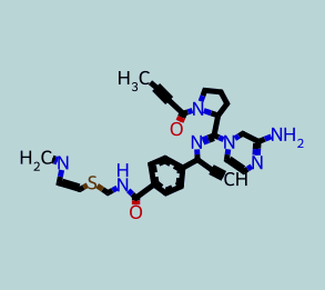 C#CC(/N=C(/C1CCCN1C(=O)C#CC)N1C=CN=C(N)C1)c1ccc(C(=O)NCS/C=C\N=C)cc1